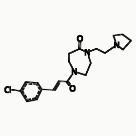 O=C(/C=C/c1ccc(Cl)cc1)N1CCC(=O)N(CCN2CCCC2)CC1